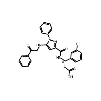 O=C(O)C[C@H](NC(=O)c1cc(NCC(=O)c2ccccc2)n(-c2ccccc2)n1)c1cccc(Cl)c1